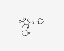 COC(=O)C(C[C@@H]1CCCNC1)NC(=O)OCc1ccccc1